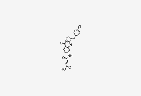 O=C(O)C=CC(=O)Nc1ccc2c(=O)n3c(nc2c1)C(=Cc1ccc(Cl)cc1)CC3